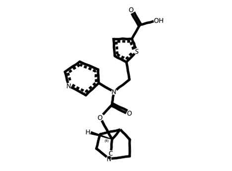 O=C(O)c1ccc(CN(C(=O)O[C@H]2CN3CCC2CC3)c2cccnc2)s1